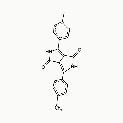 Cc1ccc(C2=C3C(=O)NC(c4ccc(C(F)(F)F)cc4)=C3C(=O)N2)cc1